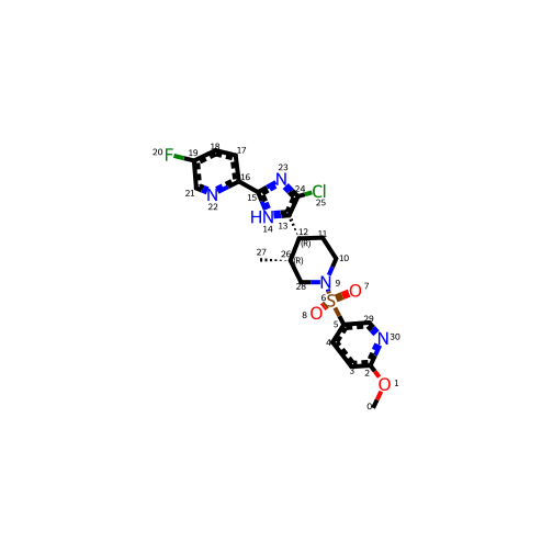 COc1ccc(S(=O)(=O)N2CC[C@@H](c3[nH]c(-c4ccc(F)cn4)nc3Cl)[C@@H](C)C2)cn1